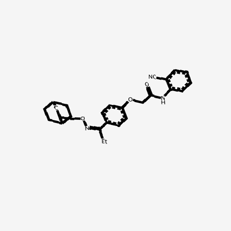 CC/C(=N/OC1CC2CCC1CC2)c1ccc(OCC(=O)Nc2ccccc2C#N)cc1